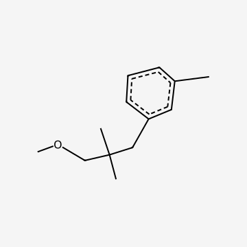 COCC(C)(C)Cc1cccc(C)c1